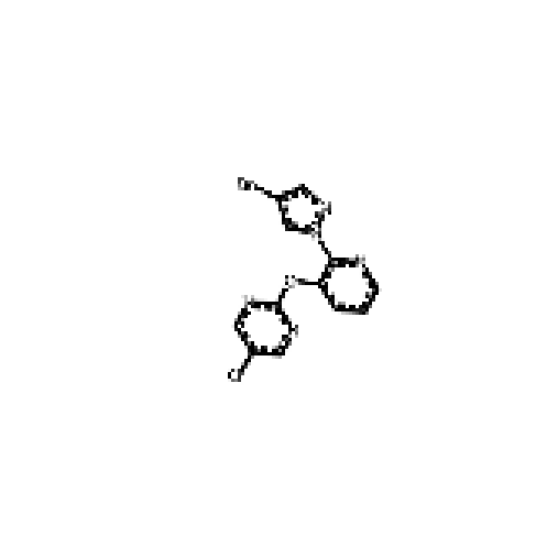 Clc1cnc(Oc2cccnc2-n2cc(Br)cn2)nc1